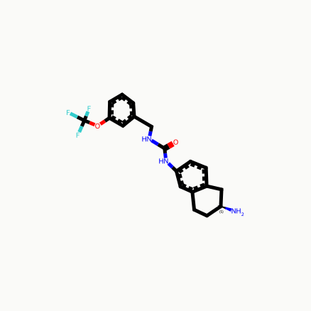 N[C@H]1CCc2cc(NC(=O)NCc3cccc(OC(F)(F)F)c3)ccc2C1